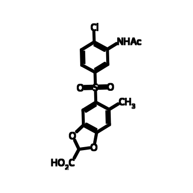 CC(=O)Nc1cc(S(=O)(=O)c2cc3c(cc2C)OC(C(=O)O)O3)ccc1Cl